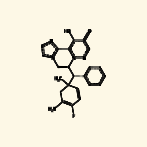 BC1=C(F)C=CC(C)([C@@H](c2ccccc2)[C@H]2Cn3ccnc3-c3c(O)c(=O)cnn32)C1